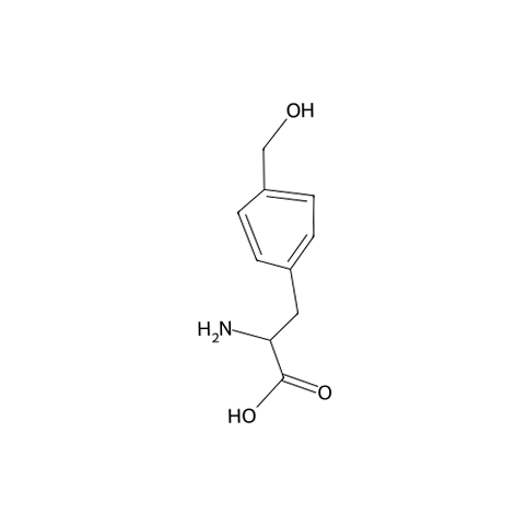 NC(Cc1ccc(CO)cc1)C(=O)O